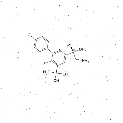 CC(C)[C@@](O)(CN)c1cc(C(C)(C)O)c(F)c(-c2ccc(F)cc2)n1